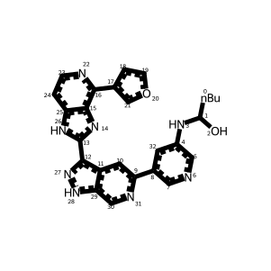 CCCCC(O)Nc1cncc(-c2cc3c(-c4nc5c(-c6ccoc6)nccc5[nH]4)n[nH]c3cn2)c1